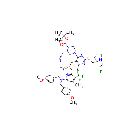 COc1ccc(CN(Cc2ccc(OC)cc2)c2cc(C)c(C(F)(F)F)c([C@H]3Cc4nc(OC[C@@]56CCCN5C[C@H](F)C6)nc(N5CCN(C(=O)OC(C)(C)C)[C@@H](CC#N)C5)c4C[C@@H]3C)n2)cc1